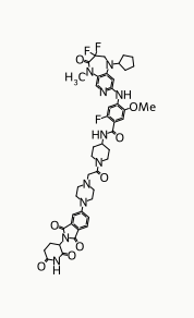 COc1cc(C(=O)NC2CCN(C(=O)CN3CCN(c4ccc5c(c4)C(=O)N(C4CCC(=O)NC4=O)C5=O)CC3)CC2)c(F)cc1Nc1cc2c(cn1)N(C)C(=O)C(F)(F)CN2C1CCCC1